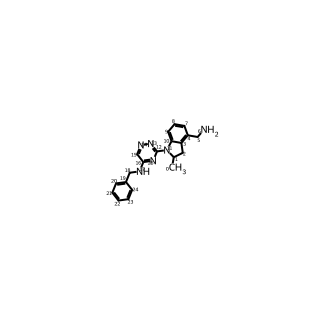 CC1Cc2c(CN)cccc2N1c1nncc(NCc2ccccc2)n1